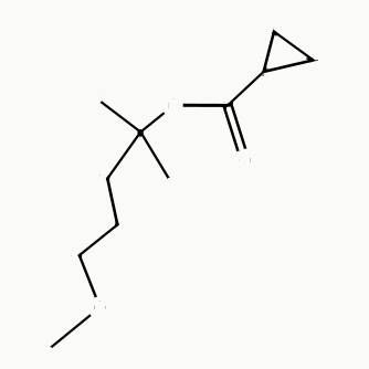 COCCCC(C)(C)OC(=O)C1CC1